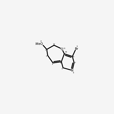 COC1CC=C2CN=CC(Br)=C2OC1